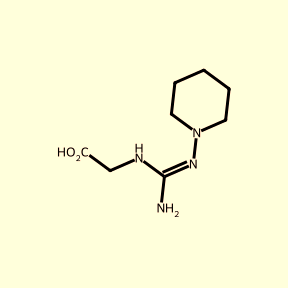 NC(=NN1CCCCC1)NCC(=O)O